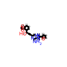 Nc1nc(C#CC(O)c2cccc3c2OCO3)cn2nc(-c3ccco3)nc12